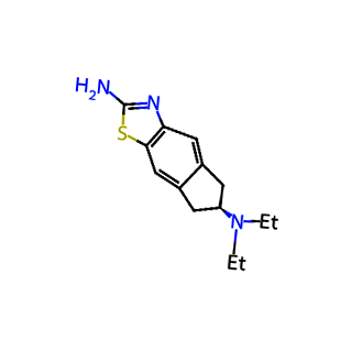 CCN(CC)[C@@H]1Cc2cc3nc(N)sc3cc2C1